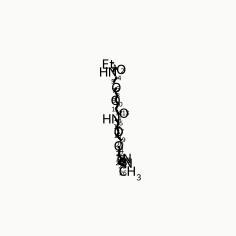 CCC(=O)NCCOCCOCCC(=O)NCCOCCOCCn1cc(C)nn1